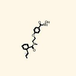 C/C=C/c1ccccc1C(=O)N(C)CCOc1ccc(C(=O)NO)cc1